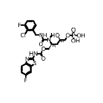 CN(C(=O)NCc1cccc(F)c1Cl)[C@H](COC(=O)Nc1nc2ccc(F)cc2s1)C[C@@H](O)COP(=O)(O)O